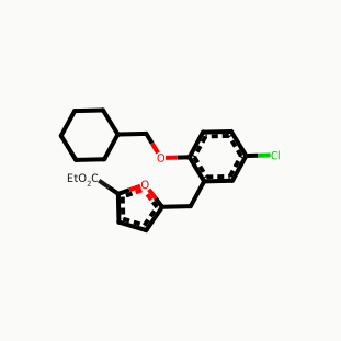 CCOC(=O)c1ccc(Cc2cc(Cl)ccc2OCC2CCCCC2)o1